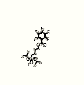 CO[Si](CCCCOC(=O)c1c(F)c(F)c(F)c(F)c1F)(OC(C)C)OC(C)C